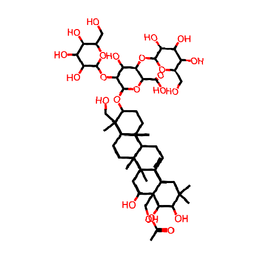 CC(=O)OC1C(O)C(C)(C)CC2C3=CCC4C5(C)CCC(OC6OC(C(=O)O)C(OC7OC(CO)C(O)C(O)C7O)C(O)C6OC6OC(CO)C(O)C(O)C6O)C(C)(CO)C5CCC4(C)C3(C)CC(O)C21CO